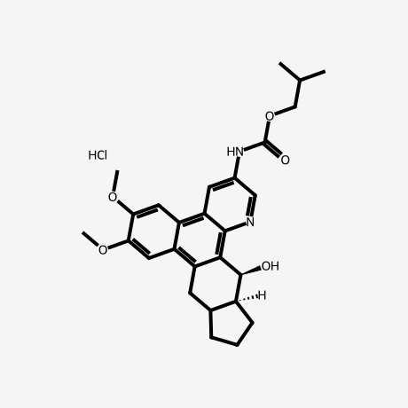 COc1cc2c3c(c4ncc(NC(=O)OCC(C)C)cc4c2cc1OC)[C@@H](O)[C@H]1CCCC1C3.Cl